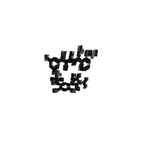 C/C(=N\NC(=O)Nc1cc(F)cc(F)c1)c1ncccc1C(=O)O.Cc1nn(-c2cc(NS(C)(=O)=O)c(Cl)cc2Cl)c(=O)n1C(F)F